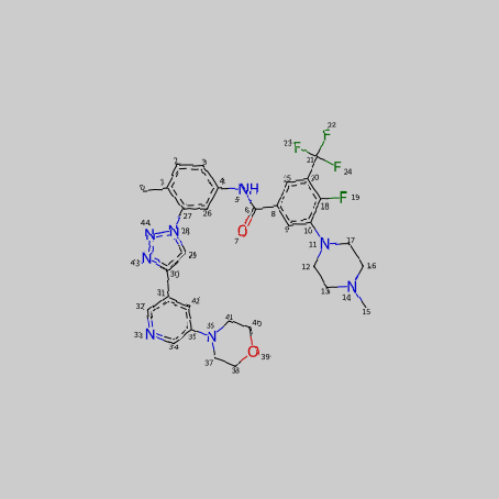 Cc1ccc(NC(=O)c2cc(N3CCN(C)CC3)c(F)c(C(F)(F)F)c2)cc1-n1cc(-c2cncc(N3CCOCC3)c2)nn1